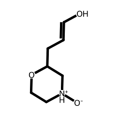 [O-][NH+]1CCOC(CC=CO)C1